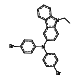 CCn1c2ccccc2c2cc(N(c3ccc(Br)cc3)c3ccc(Br)cc3)ccc21